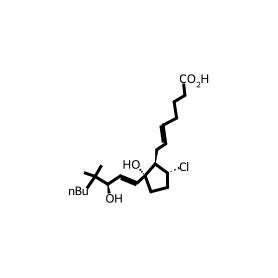 CCCCC(C)(C)[C@H](O)C=C[C@]1(O)CC[C@@H](Cl)[C@@H]1CC=CCCCC(=O)O